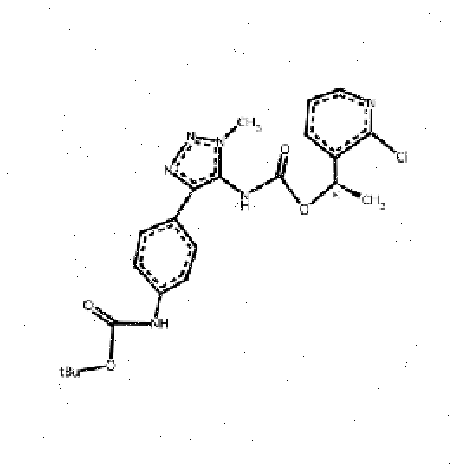 C[C@@H](OC(=O)Nc1c(-c2ccc(NC(=O)OC(C)(C)C)cc2)nnn1C)c1cccnc1Cl